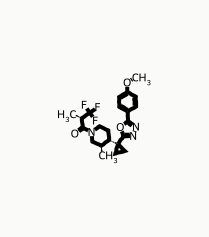 COc1ccc(-c2nnc(C3([C@H]4CCN(C(=O)[C@H](C)C(F)(F)F)C[C@H]4C)CC3)o2)cc1